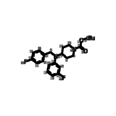 CC(C)(C)OC(=O)N1CCC(N(Cc2ccc(F)cc2)c2cccc(F)c2)CC1